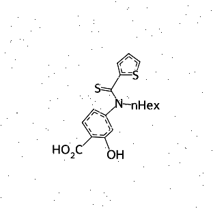 CCCCCCN(C(=S)c1cccs1)c1ccc(C(=O)O)c(O)c1